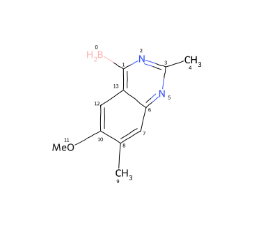 Bc1nc(C)nc2cc(C)c(OC)cc12